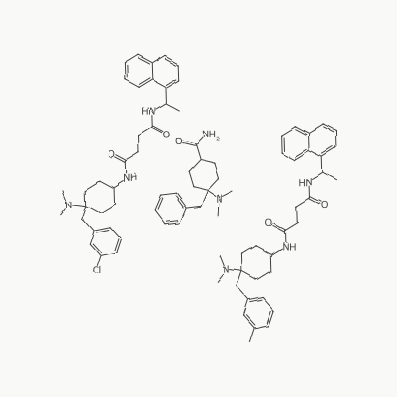 CC(NC(=O)CCC(=O)NC1CCC(Cc2cccc(Cl)c2)(N(C)C)CC1)c1cccc2ccccc12.CN(C)C1(Cc2ccccc2)CCC(C(N)=O)CC1.Cc1cccc(CC2(N(C)C)CCC(NC(=O)CCC(=O)NC(C)c3cccc4ccccc34)CC2)c1